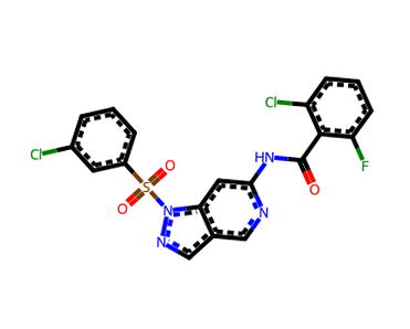 O=C(Nc1cc2c(cn1)cnn2S(=O)(=O)c1cccc(Cl)c1)c1c(F)cccc1Cl